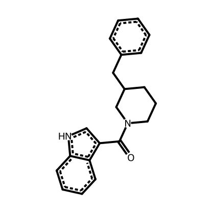 O=C(c1c[nH]c2ccccc12)N1CCCC(Cc2ccccc2)C1